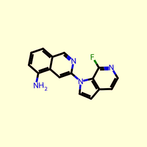 Nc1cccc2cnc(-n3ccc4ccnc(F)c43)cc12